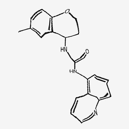 Cc1ccc2c(c1)C(NC(=O)Nc1cccc3ncccc13)CCO2